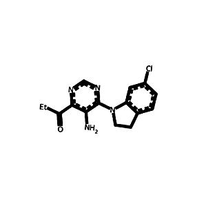 CCC(=O)c1ncnc(N2CCc3ccc(Cl)cc32)c1N